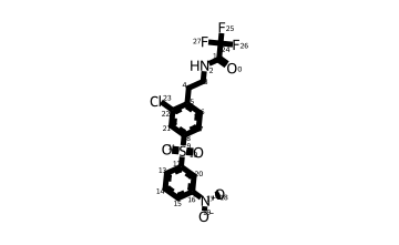 O=C(NCCc1ccc(S(=O)(=O)c2cccc([N+](=O)[O-])c2)cc1Cl)C(F)(F)F